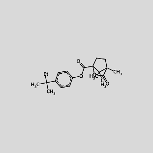 CCC(C)(C)c1ccc(OC(=O)C23CCC(C)(C(=O)O2)C3(C)C)cc1